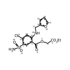 CCOC(=O)COC(=O)c1cc(S(N)(=O)=O)c(Cl)cc1NCc1ccco1